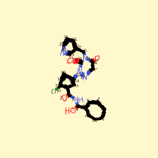 O=C(NC(O)C1CCCCCC1)c1cc(-n2ncc(=O)n(Cc3cccnc3)c2=O)ccc1Cl